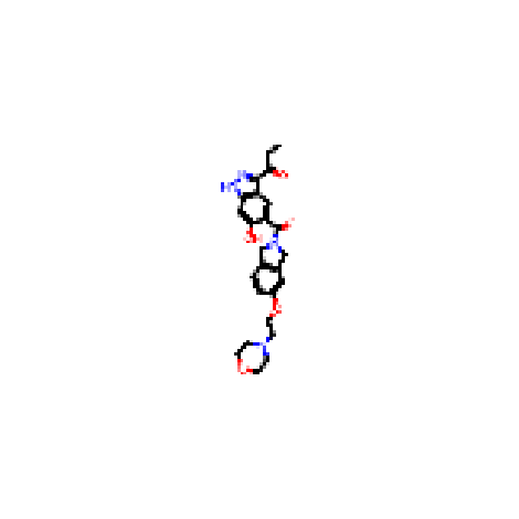 CCC(=O)c1n[nH]c2cc(O)c(C(=O)N3Cc4ccc(OCCN5CCOCC5)cc4C3)cc12